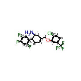 NC1CC(COc2cc(C(F)(F)F)ccc2Cl)=CCC1c1cc(F)c(F)cc1F